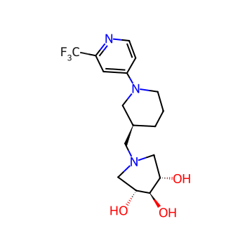 O[C@H]1[C@H](O)CN(C[C@@H]2CCCN(c3ccnc(C(F)(F)F)c3)C2)C[C@@H]1O